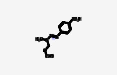 CN(COC=O)/N=N/c1ccc(S(=O)(=O)O)cc1